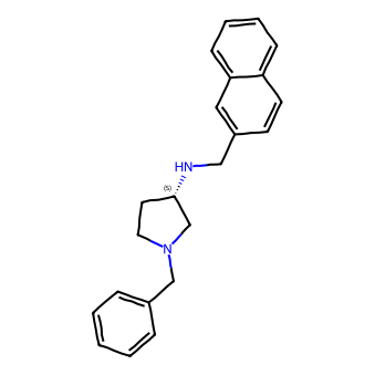 c1ccc(CN2CC[C@H](NCc3ccc4ccccc4c3)C2)cc1